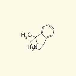 CC12CCCC(c3ccccc31)C2N